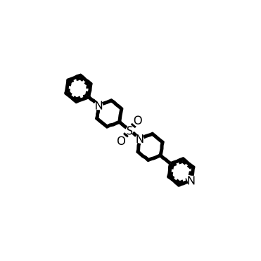 O=S(=O)(C1CCN(c2ccccc2)CC1)N1CCC(c2ccncc2)CC1